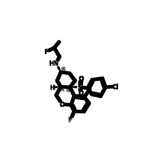 CC(F)CN[C@@H]1CC[C@@]2(S(=O)(=O)c3ccc(Cl)cc3)c3c(F)ccc(F)c3OC[C@H]2C1